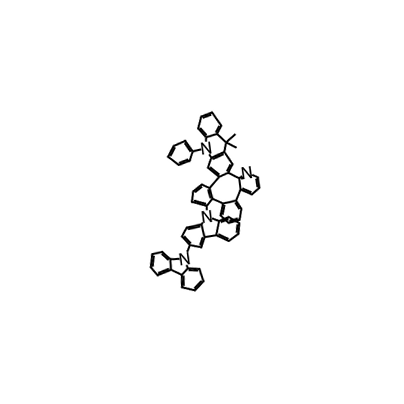 CC1(C)c2ccccc2N(c2ccccc2)c2cc3c(cc21)-c1ncccc1-c1ccccc1-c1c-3cccc1-n1c2ccccc2c2cc(-n3c4ccccc4c4ccccc43)ccc21